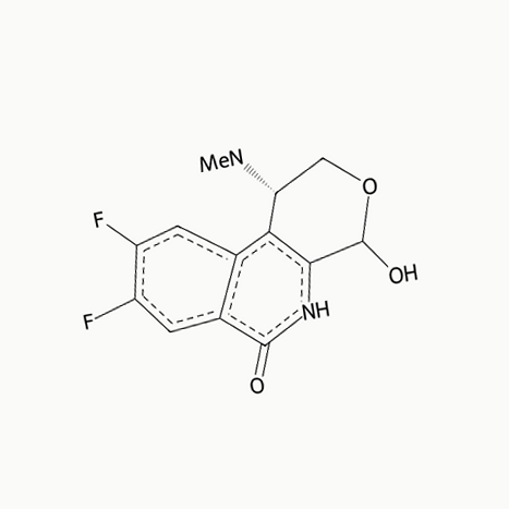 CN[C@@H]1COC(O)c2[nH]c(=O)c3cc(F)c(F)cc3c21